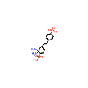 NC1(N)CC(C=Cc2ccc(S(=O)(=O)O)cc2)=CC=C1S(=O)(=O)O